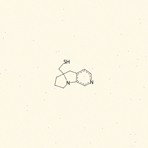 SCC12CCCN1c1cnccc1C2